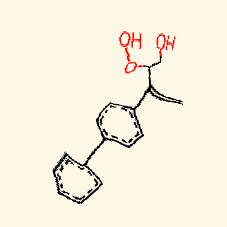 C=C(c1ccc(-c2ccccc2)cc1)C(CO)OO